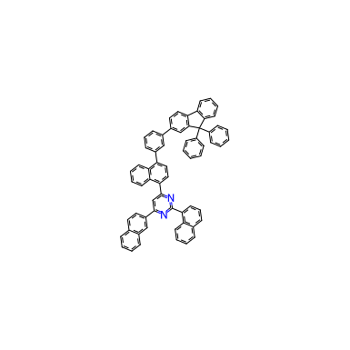 c1ccc(C2(c3ccccc3)c3ccccc3-c3ccc(-c4cccc(-c5ccc(-c6cc(-c7ccc8ccccc8c7)nc(-c7cccc8ccccc78)n6)c6ccccc56)c4)cc32)cc1